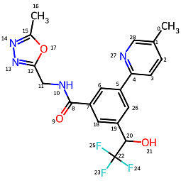 Cc1ccc(-c2cc(C(=O)NCc3nnc(C)o3)cc(C(O)C(F)(F)F)c2)nc1